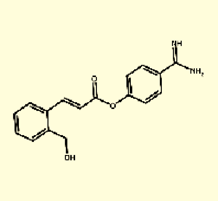 N=C(N)c1ccc(OC(=O)/C=C/c2ccccc2CO)cc1